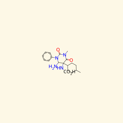 CC1CCC(C2(NC(=O)O)C(=O)N(C)C(=O)N(c3ccccc3)C2N)CC1